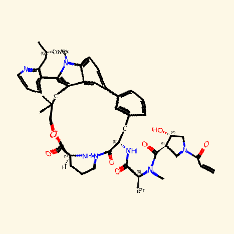 C=CC(=O)N1C[C@@H](O)[C@H](C(=O)N(C)[C@H](C(=O)N[C@H]2Cc3cccc(c3)-c3ccc4c(c3)c(c(-c3cccnc3[C@H](C)OC)n4CC)CC(C)(C)COC(=O)[C@@H]3CCCN(N3)C2=O)C(C)C)C1